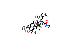 CCCC(C)(C)CC[C@](C)(CCC(=O)N1CCC1)CCC(C)(C)[C@]1(C)CC[C@H]2C(C)(C)C(=O)C(C#N)=C[C@]2(C)/C1=C/C(C)=O